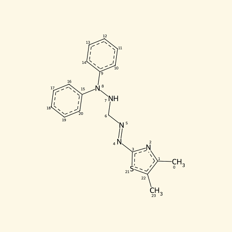 Cc1nc(/N=N/CNN(c2ccccc2)c2ccccc2)sc1C